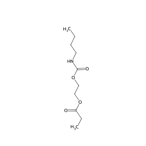 CCCCNC(=O)OCCOC(=O)CC